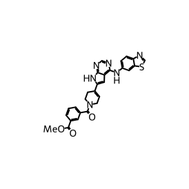 COC(=O)c1cccc(C(=O)N2CC=C(c3cc4c(Nc5ccc6ncsc6c5)ncnc4[nH]3)CC2)c1